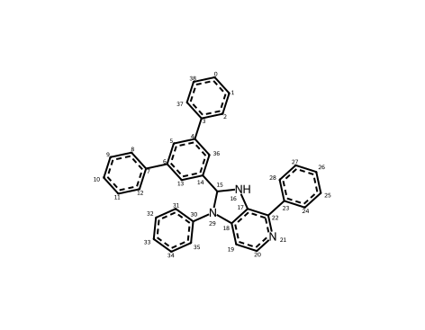 c1ccc(-c2cc(-c3ccccc3)cc(C3Nc4c(ccnc4-c4ccccc4)N3c3ccccc3)c2)cc1